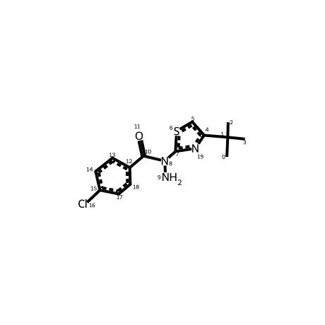 CC(C)(C)c1csc(N(N)C(=O)c2ccc(Cl)cc2)n1